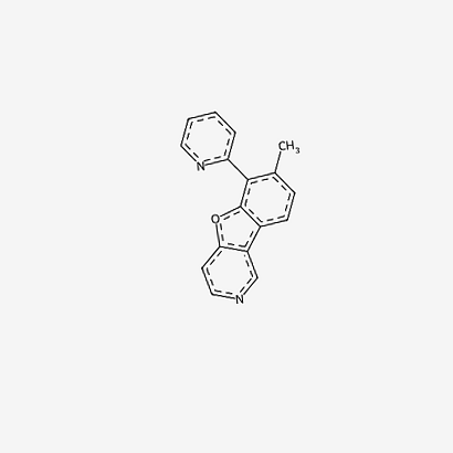 Cc1ccc2c(oc3ccncc32)c1-c1ccccn1